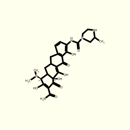 CC1CN(C(=O)Nc2ccc3c(c2O)C(=O)C2=C(O)[C@]4(O)C(=O)C(C(N)=O)=C(O)[C@@H](N(C)C)C4CC2C3)CCN1